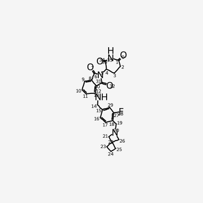 O=C1CCC(N2C(=O)c3cccc(NCc4ccc(CN5CC6(CCC6)C5)c(F)c4)c3C2=O)C(=O)N1